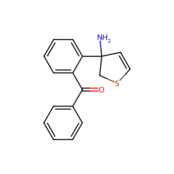 NC1(c2ccccc2C(=O)c2ccccc2)C=CSC1